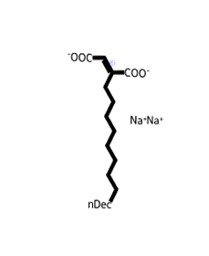 CCCCCCCCCCCCCCCCCC/C(=C\C(=O)[O-])C(=O)[O-].[Na+].[Na+]